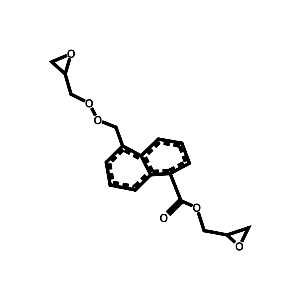 O=C(OCC1CO1)c1cccc2c(COOCC3CO3)cccc12